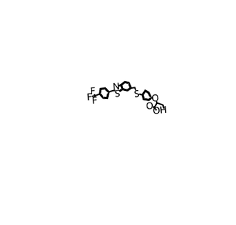 CCC(Oc1ccc(SCc2ccc3nc(-c4ccc(C(F)(F)F)cc4)sc3c2)cc1)C(=O)O